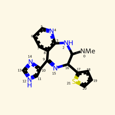 CNC1Nc2ncccc2C(c2c[nH]cn2)=NC1c1cccs1